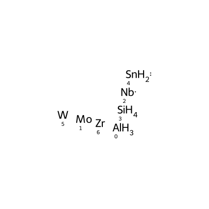 [AlH3].[Mo].[Nb].[SiH4].[SnH2].[W].[Zr]